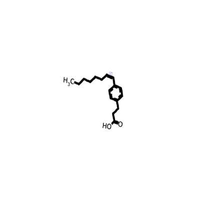 CCCCCC/C=C\c1ccc(CCC(=O)O)cc1